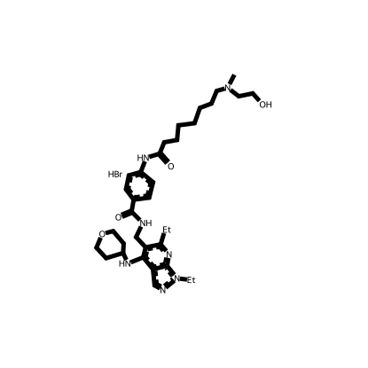 Br.CCc1nc2c(cnn2CC)c(NC2CCOCC2)c1CNC(=O)c1ccc(NC(=O)CCCCCCCN(C)CCO)cc1